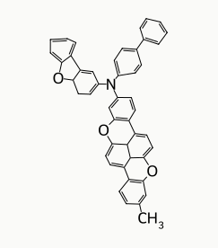 Cc1ccc2c(c1)OC1=CC=C3c4ccc(N(C5=CCC6Oc7ccccc7C6=C5)c5ccc(-c6ccccc6)cc5)cc4OC4=CC=C2C1C43